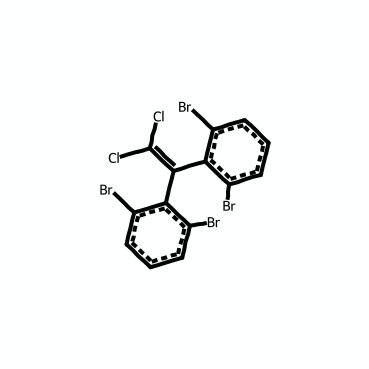 ClC(Cl)=C(c1c(Br)cccc1Br)c1c(Br)cccc1Br